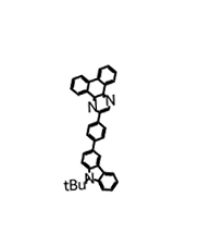 CC(C)(C)n1c2ccccc2c2cc(-c3ccc(-c4cnc5c6ccccc6c6ccccc6c5n4)cc3)ccc21